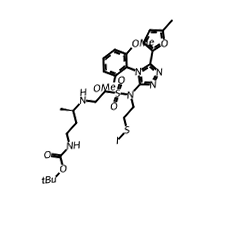 COc1cccc(OC)c1-n1c(-c2ccc(C)o2)nnc1N(CCSI)S(=O)(=O)CCN[C@H](C)CCNC(=O)OC(C)(C)C